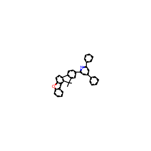 CC1(C)c2cc(-c3cc(-c4ccccc4)cc(-c4ccccc4)n3)ccc2-c2ccc3oc4ccccc4c3c21